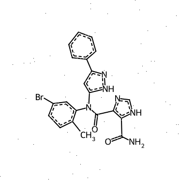 Cc1ccc(Br)cc1N(C(=O)c1nc[nH]c1C(N)=O)c1cc(-c2ccccc2)n[nH]1